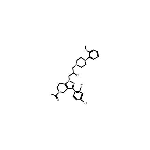 COc1ccccc1N1CCN(CC(O)Cn2nc(-c3ccc(Cl)cc3Cl)c3c2CCN(C(C)=O)C3)CC1